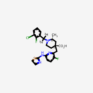 [2H]C([2H])(c1cccc(Cl)c1F)N1CC[C@](Cc2nc(Nc3nccs3)ccc2F)(C(=O)O)C[C@H]1C